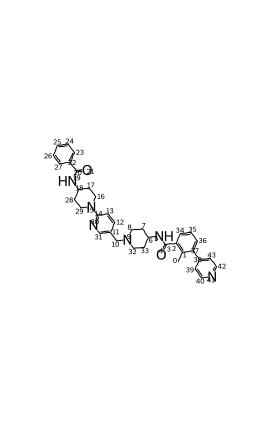 Cc1c(C(=O)NC2CCN(Cc3ccc(N4CCC(NC(=O)c5ccccc5)CC4)nc3)CC2)cccc1-c1ccncc1